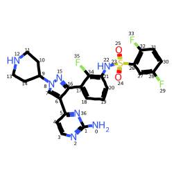 Nc1nccc(-c2cn(C3CCNCC3)nc2-c2cccc(NS(=O)(=O)c3cc(F)ccc3F)c2F)n1